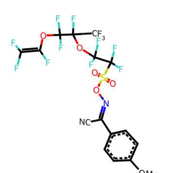 COc1ccc(/C(C#N)=N/OS(=O)(=O)C(F)(F)C(F)(F)OC(F)(C(F)(F)F)C(F)(F)OC(F)=C(F)F)cc1